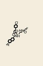 CN(C)c1ccc2cc(C(=O)N[C@@H](CCCNC(=O)CF)c3ncc(-c4ccc(Cl)cc4)o3)ccc2c1